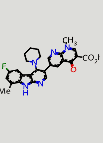 CNc1cc(F)cc2c1[nH]c1ncc(-c3cnc4c(c3)c(=O)c(C(=O)O)cn4C)c(N3CCCCC3)c12